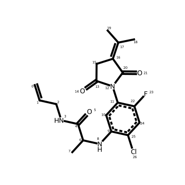 C=CCNC(=O)C(C)Nc1cc(N2C(=O)CC(=C(C)C)C2=O)c(F)cc1Cl